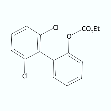 CCOC(=O)Oc1ccccc1-c1c(Cl)cccc1Cl